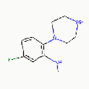 CNc1cc(F)ccc1N1CCNCC1